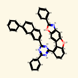 c1ccc(-c2ccc3ccc(-c4nc(-c5ccccc5)nc(-c5cccc6oc7cc8nc(-c9ccccc9)oc8cc7c56)n4)cc3c2)cc1